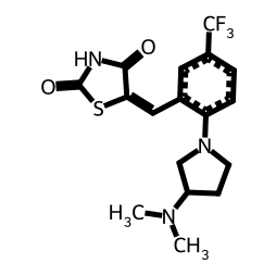 CN(C)C1CCN(c2ccc(C(F)(F)F)cc2C=C2SC(=O)NC2=O)C1